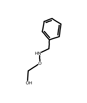 OCONCc1ccccc1